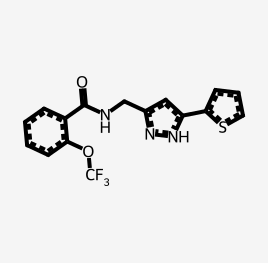 O=C(NCc1cc(-c2cccs2)[nH]n1)c1ccccc1OC(F)(F)F